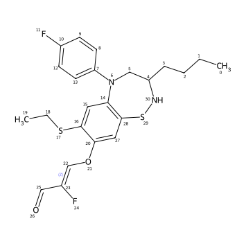 CCCCC1CN(c2ccc(F)cc2)c2cc(SCC)c(O/C=C(\F)C=O)cc2SN1